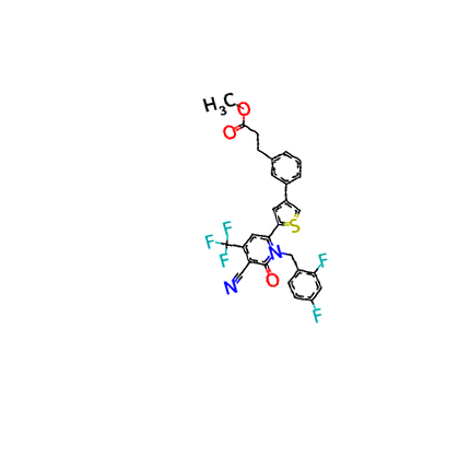 COC(=O)CCc1cccc(-c2csc(-c3cc(C(F)(F)F)c(C#N)c(=O)n3Cc3ccc(F)cc3F)c2)c1